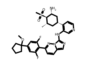 COC1(c2cc(F)c(-c3ccc4cnc(Nc5cnccc5[C@H]5C[C@@H](N)[C@H](S(C)(=O)=O)[C@@H](C)C5)n4n3)c(F)c2)CCCC1